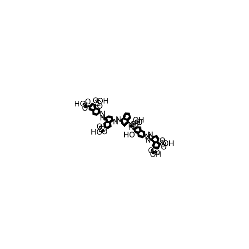 O=S(=O)(O)c1cc(S(=O)(=O)O)c2cc(N=Nc3ccc(N=Nc4ccc(N=Nc5c(S(=O)(=O)O)cc6cc(-n7nc8ccc9c(S(=O)(=O)O)cc(S(=O)(=O)O)cc9c8n7)ccc6c5O)c5ccccc45)c4ccc(S(=O)(=O)O)cc34)ccc2c1